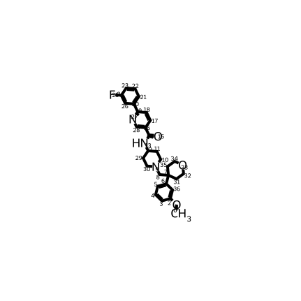 COc1cccc(C2(CN3CCC(NC(=O)c4ccc(-c5cccc(F)c5)nc4)CC3)CCOCC2)c1